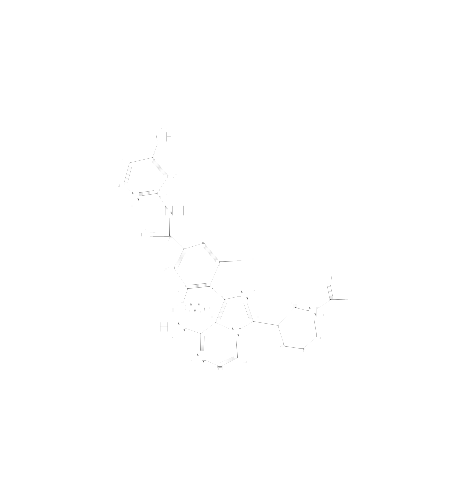 CCC(=O)N1CCCC(c2nc(-c3c(F)cc(C(=O)Nc4cc(C(F)(F)F)ccn4)cc3OC)c3c(N)nccn23)C1